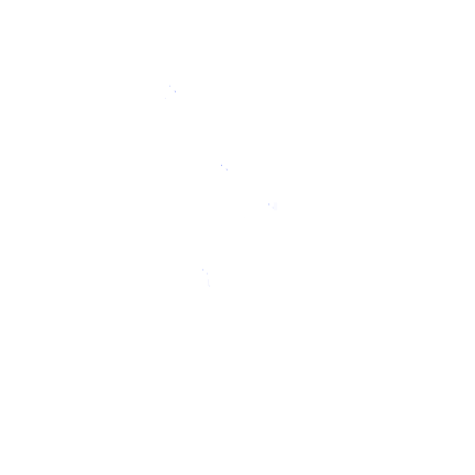 CCNC(CCc1ccccc1)C(N)CNC(=O)CN